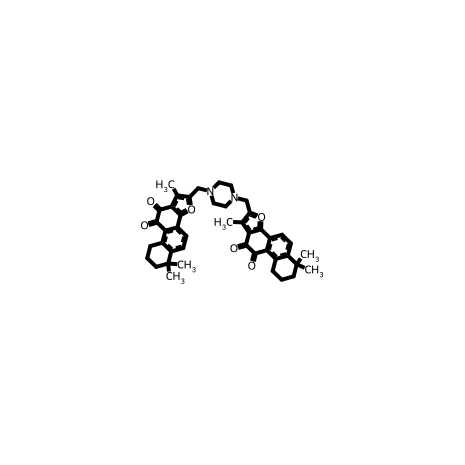 Cc1c(CN2CCN(Cc3oc4c(c3C)C(=O)C(=O)c3c-4ccc4c3CCCC4(C)C)CC2)oc2c1C(=O)C(=O)c1c-2ccc2c1CCCC2(C)C